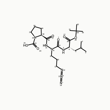 CC(C)C[C@H](NC(=O)N(CCCN=[N+]=[N-])NC(=O)[C@@H]1CCCN1C(=O)O)C(=O)OC(C)(C)C